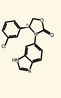 O=C1OC[C@H](c2cccc(Cl)c2)N1c1ccc2nc[nH]c2c1